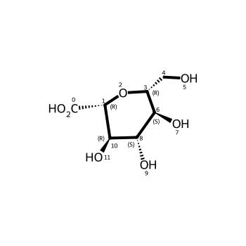 O=C(O)[C@@H]1O[C@H](CO)[C@@H](O)[C@H](O)[C@H]1O